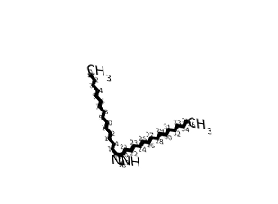 CCCCCCCCCCCCCCCCc1nc[nH]c1CCCCCCCCCCCCCCCC